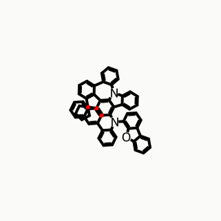 c1ccc(N(c2cccc3c2oc2ccccc23)c2cc3c4c5c2c2ccccc2n5-c2ccccc2-c2cccc(c2-4)C32CCCC2)c(-c2ccc3ccccc3c2)c1